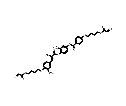 [C-]#[N+]/C(=C\c1ccc(OCCCCOC(=O)C=C)c(OC)c1)C(=O)Nc1ccc(OC(=O)c2ccc(OCCCCOC(=O)C=C)cc2)cc1C